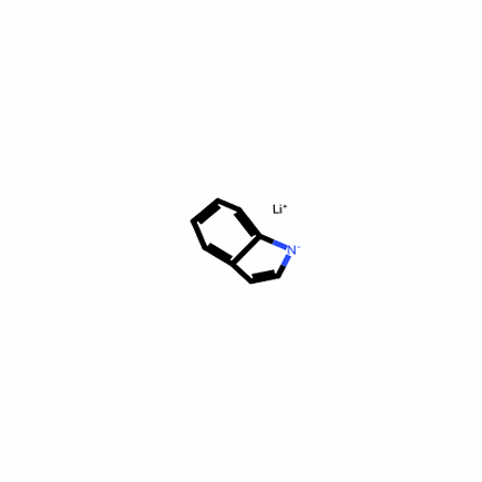 [Li+].c1ccc2[n-]ccc2c1